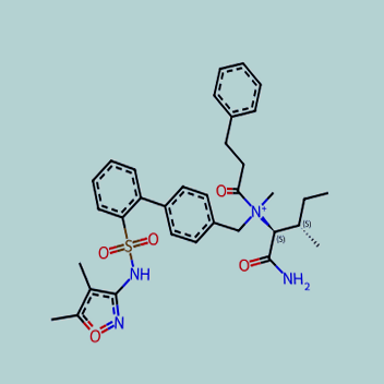 CC[C@H](C)[C@@H](C(N)=O)[N+](C)(Cc1ccc(-c2ccccc2S(=O)(=O)Nc2noc(C)c2C)cc1)C(=O)CCc1ccccc1